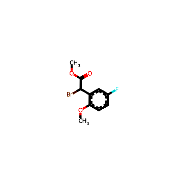 COC(=O)C(Br)c1cc(F)ccc1OC